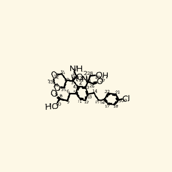 NC(=O)C(c1c(CCC(=O)O)ccc(CCc2ccc(Cl)cc2)c1C(N)(C=O)CO)C1COCOC1